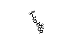 Cc1c(-c2ccc(OC(=O)CCC(=O)O)cc2)oc2c1C(=O)C(=O)c1c-2ccc2c(C)cccc12